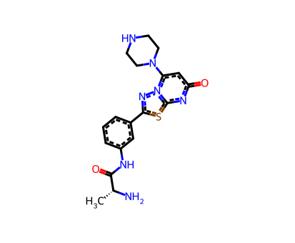 C[C@@H](N)C(=O)Nc1cccc(-c2nn3c(N4CCNCC4)cc(=O)nc3s2)c1